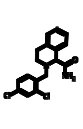 NC(=O)C1c2cc[c]cc2CCN1Cc1ccc(Cl)cc1Cl